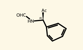 CC(=O)[C@H](NC=O)c1ccccc1